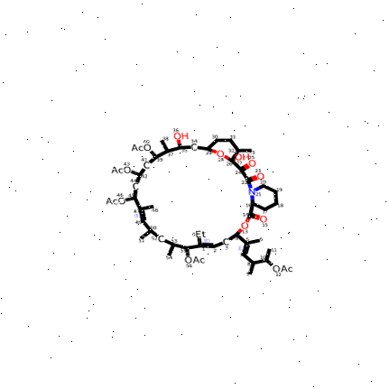 CC/C1=C\CC(/C(C)=C/C(C)C(C)OC(C)=O)OC(=O)C2CCCCN2C(=O)C(=O)C2(O)OC(CCC2C)CC(O)C(C)C(OC(C)=O)CC(OC(C)=O)CC(OC(C)=O)/C(C)=C/C(C)CC(C)C1OC(C)=O